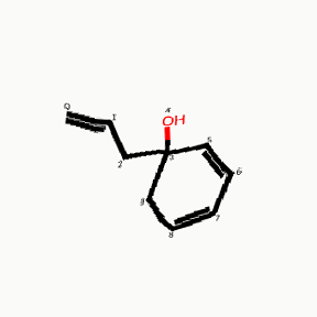 C=CCC1(O)C=CC=CC1